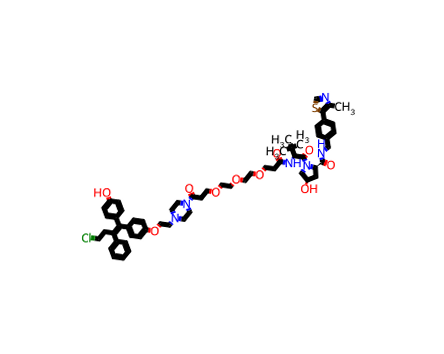 Cc1ncsc1-c1ccc(CNC(=O)[C@@H]2C[C@@H](O)CN2C(=O)[C@@H](NC(=O)CCOCCOCCOCCC(=O)N2CCN(CCOc3ccc(C(=C(CCCl)c4ccccc4)c4ccc(O)cc4)cc3)CC2)C(C)(C)C)cc1